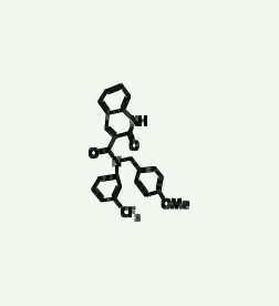 COc1ccc(CN(C(=O)c2cc3ccccc3[nH]c2=O)c2cccc(C(F)(F)F)c2)cc1